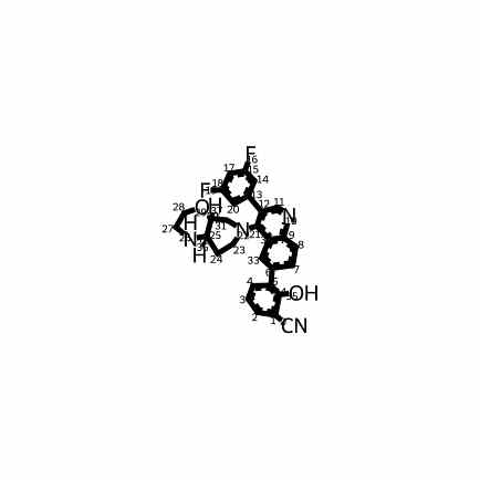 N#Cc1cccc(-c2ccc3ncc(-c4cc(F)cc(F)c4)c(N4CC[C@@H]5NCCO[C@H]5C4)c3c2)c1O